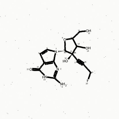 Nc1nc2c(ccn2[C@@H]2OC(CO)C(O)[C@]2(O)C#CCF)c(=O)[nH]1